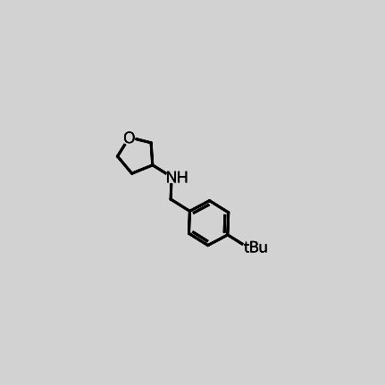 CC(C)(C)c1ccc(CNC2CCOC2)cc1